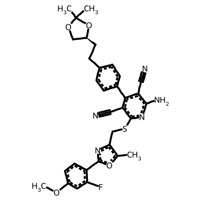 COc1ccc(-c2nc(CSc3nc(N)c(C#N)c(-c4ccc(CC[C@H]5COC(C)(C)O5)cc4)c3C#N)c(C)o2)c(F)c1